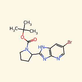 CC(C)(C)OC(=O)N1CCCC1c1nc2ncc(Br)cc2[nH]1